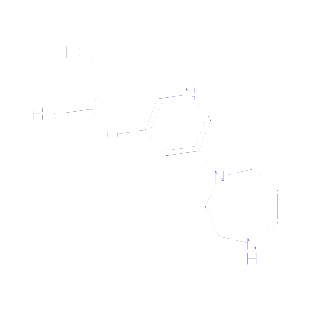 COC(C)Oc1cncc(N2CCCNCC2)c1